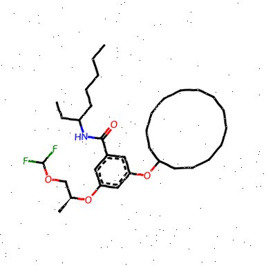 CCCCCC(CC)NC(=O)c1cc(OC2CCCCCCCCCCCCC2)cc(O[C@@H](C)COC(F)F)c1